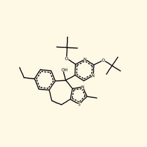 CCc1ccc2c(c1)CCc1sc(C)nc1C2(O)c1cnc(OC(C)(C)C)nc1OC(C)(C)C